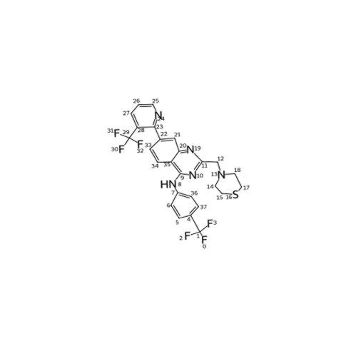 FC(F)(F)c1ccc(Nc2nc(CN3CCSCC3)nc3cc(-c4ncccc4C(F)(F)F)ccc23)cc1